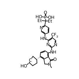 CCC(CC)(c1ccc(Nc2nc(Nc3ccc([C@H]4CC[C@H](O)CC4)c4c3C(=O)N(C)C4)ncc2C(F)(F)F)cn1)P(=O)(O)O